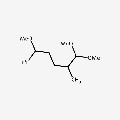 COC(CCC(C)C(OC)OC)C(C)C